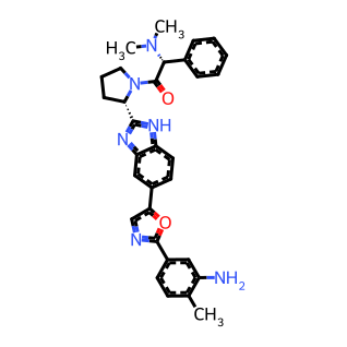 Cc1ccc(-c2ncc(-c3ccc4[nH]c([C@@H]5CCCN5C(=O)[C@@H](c5ccccc5)N(C)C)nc4c3)o2)cc1N